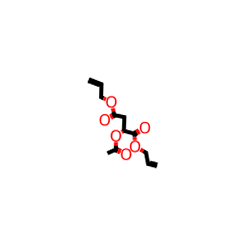 C=CCOC(=O)CC(OC(C)=O)C(=O)OCC=C